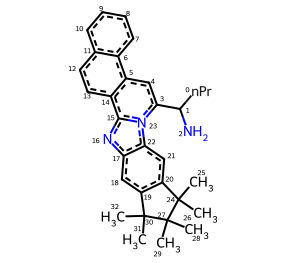 CCCC(N)c1cc2c3ccccc3ccc2c2nc3cc4c(cc3n12)C(C)(C)C(C)(C)C4(C)C